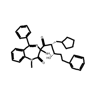 CN1C(=O)C(N)(C(=O)[C@H](CC2CCCC2)[C@@H](O)CCc2ccccc2)N=C(c2ccccc2)c2ccccc21